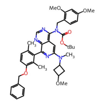 COc1ccc(CN(C(=O)OC(C)(C)C)c2ncnc3c(-c4c(C)ccc(OCc5ccccc5)c4C)nc(N(C)C4CC(OC)C4)cc23)c(OC)c1